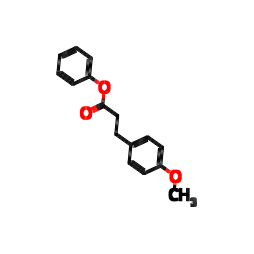 COc1ccc(CCC(=O)Oc2ccccc2)cc1